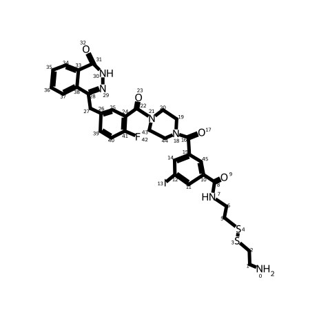 NCCSSCCNC(=O)c1cc(I)cc(C(=O)N2CCN(C(=O)c3cc(Cc4n[nH]c(=O)c5ccccc45)ccc3F)CC2)c1